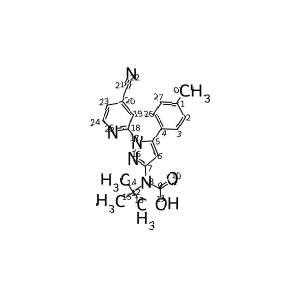 Cc1ccc(-c2cc(N(C(=O)O)C(C)(C)C)nn2-c2cc(C#N)ccn2)cc1